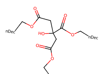 CCCCCCCCCCCOC(=O)CC(O)(CC(=O)OCCCCCCCCCCC)C(=O)OCCCCCCCCCCC